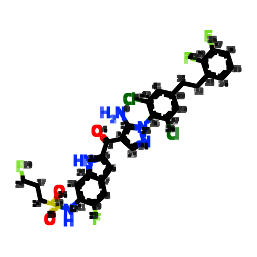 Nc1c(C(=O)c2cc3cc(F)c(NS(=O)(=O)CCCF)cc3[nH]2)cnn1-c1c(Cl)cc(CCc2cccc(F)c2F)cc1Cl